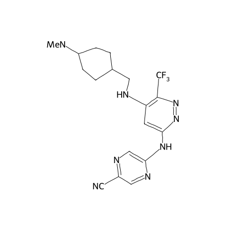 CNC1CCC(CNc2cc(Nc3cnc(C#N)cn3)nnc2C(F)(F)F)CC1